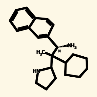 CC(C1CCCCC1)(C1CCCN1)[C@@H](N)c1ccc2ccccc2c1